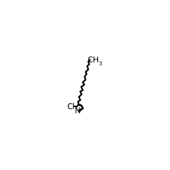 CCCCCCCCCCCCCCCCCCc1cccnc1Cl